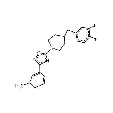 CN1C=C(c2noc(N3CCC(Cc4ccc(F)c(F)c4)CC3)n2)C=CC1